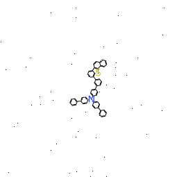 c1ccc(-c2ccc(N(c3ccc(-c4ccccc4)cc3)c3ccc(-c4cccc(-c5cccc6c5sc5c7ccccc7ccc65)c4)cc3)cc2)cc1